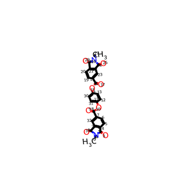 CN1C(=O)c2ccc(C(=O)Oc3ccc(OC(=O)c4ccc5c(c4)C(=O)N(C)C5=O)cc3)cc2C1=O